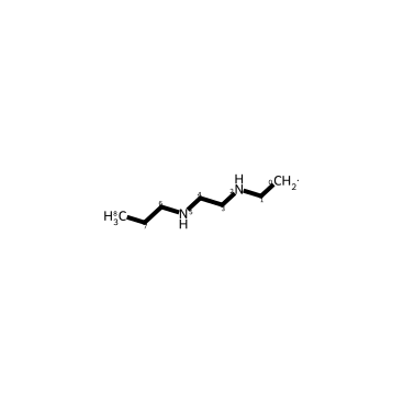 [CH2]CNCCNCCC